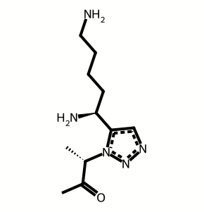 CC(=O)[C@H](C)n1nncc1[C@@H](N)CCCCN